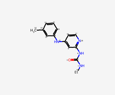 CCNC(=O)Nc1cc(Nc2cccc(C)c2)ccn1